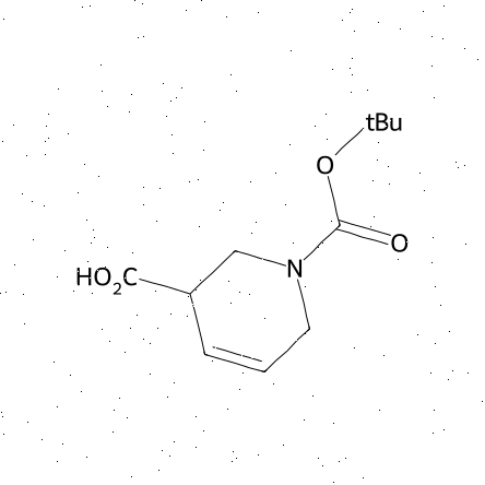 CC(C)(C)OC(=O)N1CC=CC(C(=O)O)C1